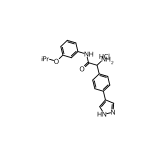 CC(C)Oc1cccc(NC(=O)C(N)c2ccc(-c3cn[nH]c3)cc2)c1.Cl